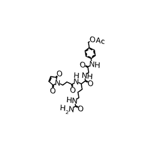 CC(=O)OCc1ccc(NC(=O)CNC(=O)C(CCCNC(N)=O)NC(=O)CCN2C(=O)C=CC2=O)cc1